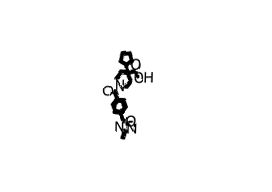 Cc1noc(-c2ccc(C(=O)N3CCC(C(=O)O)(C4CCCC4)CC3)cc2)n1